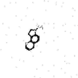 CN1CCc2c1ccc1c2OC=CC1